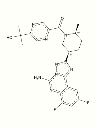 C[C@H]1CC[C@@H](c2nc3c4cc(F)cc(F)c4nc(N)n3n2)CN1C(=O)c1cnc(C(C)(C)O)cn1